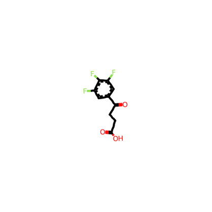 O=C(O)CCC(=O)c1cc(F)c(F)c(F)c1